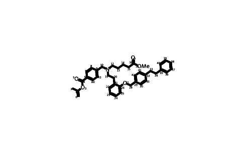 C=C(C)OC(=O)c1ccc(CN(CCCCC(=O)OC)CCc2ccccc2OCc2ccc(CCc3ccccc3)cc2)cc1